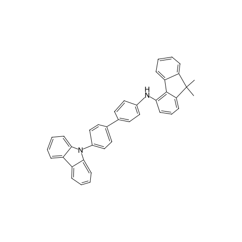 CC1(C)c2ccccc2-c2c(Nc3ccc(-c4ccc(-n5c6ccccc6c6ccccc65)cc4)cc3)cccc21